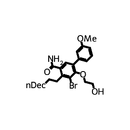 CCCCCCCCCCCCc1c(C(N)=O)cc(-c2cccc(OC)c2)c(OCCO)c1Br